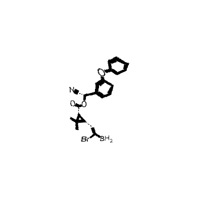 BC(Br)=C[C@H]1[C@@H](C(=O)O[C@H](C#N)c2cccc(Oc3ccccc3)c2)C1(C)C